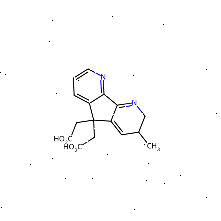 CC1C=C2C(=NC1)c1ncccc1C2(CC(=O)O)CC(=O)O